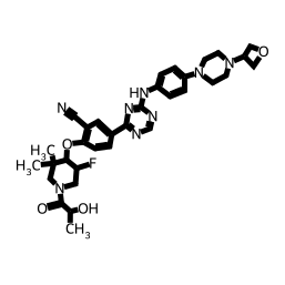 CC(O)C(=O)N1CC(F)C(Oc2ccc(-c3ncnc(Nc4ccc(N5CCN(C6COC6)CC5)cc4)n3)cc2C#N)C(C)(C)C1